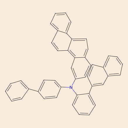 c1ccc(-c2ccc(N(c3ccc4ccc5c6ccccc6ccc5c4c3)c3ccccc3-c3ccc4ccccc4c3)cc2)cc1